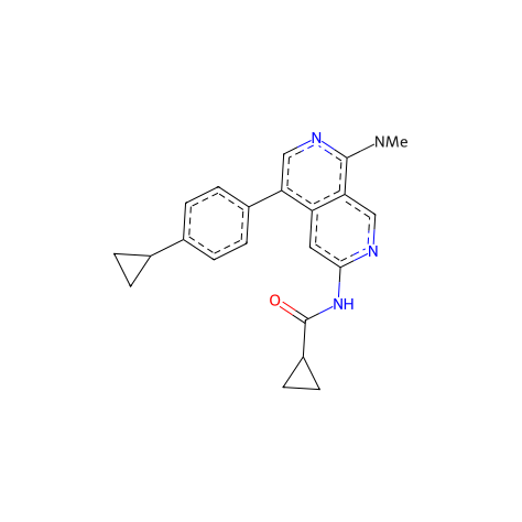 CNc1ncc(-c2ccc(C3CC3)cc2)c2cc(NC(=O)C3CC3)ncc12